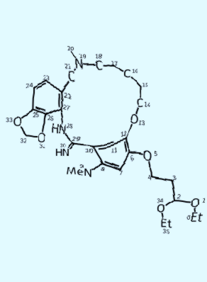 CCOC(CCOc1cc(NC)c2cc1OCCCCCN(C)Cc1ccc3c(c1NC2=N)OCO3)OCC